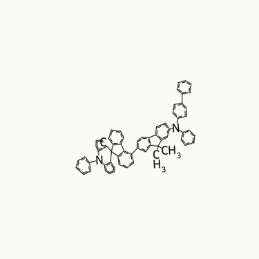 CC1(C)c2cc(-c3cccc4c3-c3ccccc3C43c4ccccc4N(c4ccccc4)c4ccccc43)ccc2-c2ccc(N(c3ccccc3)c3ccc(-c4ccccc4)cc3)cc21